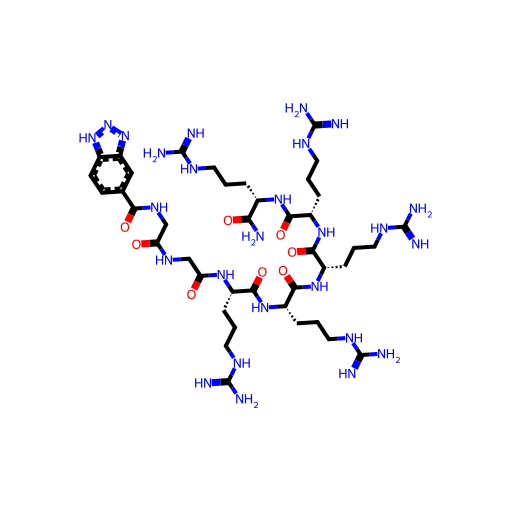 N=C(N)NCCC[C@H](NC(=O)[C@H](CCCNC(=N)N)NC(=O)[C@H](CCCNC(=N)N)NC(=O)[C@H](CCCNC(=N)N)NC(=O)[C@H](CCCNC(=N)N)NC(=O)CNC(=O)CNC(=O)c1ccc2[nH]nnc2c1)C(N)=O